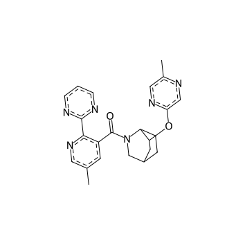 Cc1cnc(-c2ncccn2)c(C(=O)N2CC3CCC2C(Oc2cnc(C)cn2)C3)c1